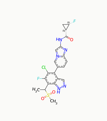 CC(c1c(F)c(Cl)c(-c2ccc3nc(NC(=O)[C@@H]4C[C@@H]4F)cn3c2)c2cn[nH]c12)S(C)(=O)=O